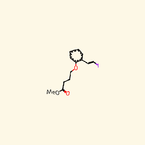 COC(=O)CCCOc1ccccc1C=CI